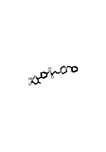 CC1CC(=O)NN=C1c1ccc(NC(=O)CCN2CCN(Cc3ccccc3)CC2)cc1